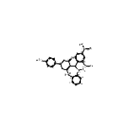 COc1ccc(C2CC(=O)C3=C(C2)Nc2ccccc2N(C(C)=O)C3c2ccc(N(C(C)C)C(C)C)cc2OC(C)C)cc1